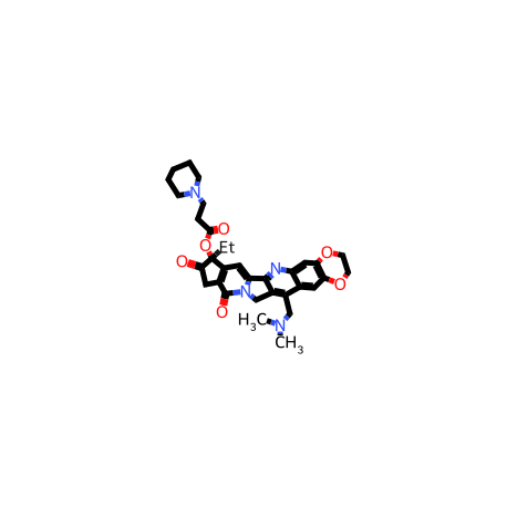 CCC1(OC(=O)CCN2CCCCC2)C(=O)Cc2c1cc1n(c2=O)Cc2c-1nc1cc3c(cc1c2CN(C)C)OCCO3